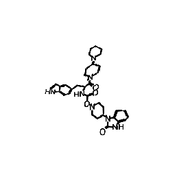 O=C(NC(Cc1ccc2[nH]ccc2c1)C(=O)N1CCC(N2CCCCC2)CC1)ON1CCC(n2c(=O)[nH]c3ccccc32)CC1